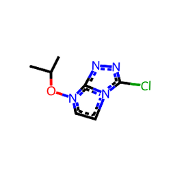 CC(C)On1ccn2c(Cl)nnc12